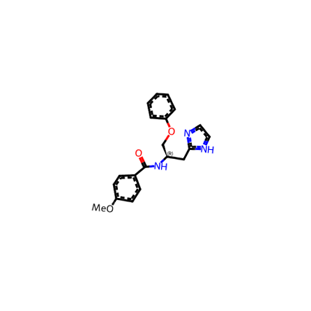 COc1ccc(C(=O)N[C@@H](COc2ccccc2)Cc2ncc[nH]2)cc1